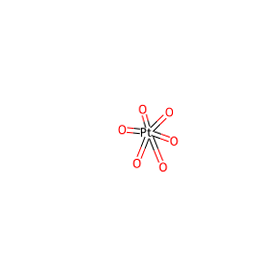 [O]=[Pt](=[O])(=[O])(=[O])(=[O])=[O]